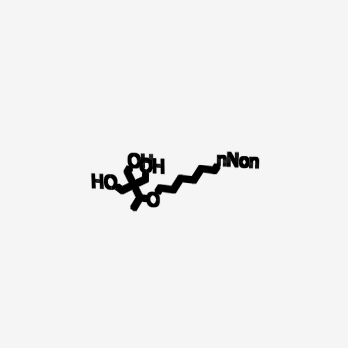 CCCCCCCCCCCCCCCOC(C)C(CO)(CO)CO